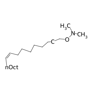 CCCCCCCC/C=C\CCCCCCCCON(C)C